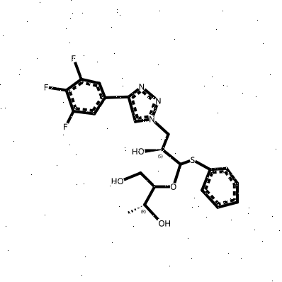 C[C@@H](O)C(CO)OC(Sc1ccccc1)[C@@H](O)Cn1cc(-c2cc(F)c(F)c(F)c2)nn1